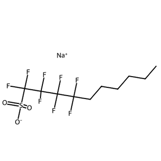 CCCCCCC(F)(F)C(F)(F)C(F)(F)C(F)(F)S(=O)(=O)[O-].[Na+]